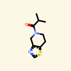 CC(C)C(=O)N1CCc2scnc2C1